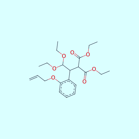 C=CCOc1ccccc1C(C(OCC)OCC)C(C(=O)OCC)C(=O)OCC